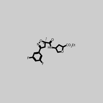 CCOC(=O)C1CC(NC(=O)[C@@]2(C)CC(c3cc(F)cc(F)c3)=NO2)CO1